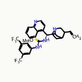 C=CC1CN2CCC1CC2[C@@H](NC(=S)Nc1cc(C(F)(F)F)cc(C(F)(F)F)c1)c1ccnc2ccc(OC)cc12